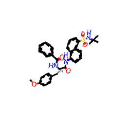 COc1ccc(C[C@H](NC(=O)c2ccccc2)C(=O)Nc2cccc3c(S(=O)(=O)NC(C)(C)C)cccc23)cc1